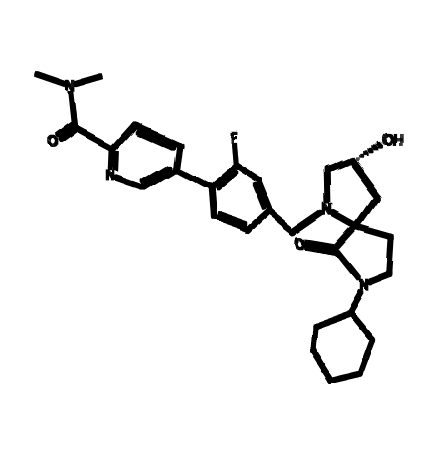 CN(C)C(=O)c1ccc(-c2ccc(CN3C[C@H](O)CC34CCN(C3CCCCC3)C4=O)cc2F)cn1